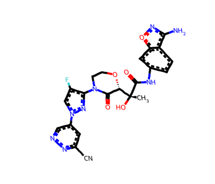 C[C@](O)(C(=O)Nc1ccc2c(N)noc2c1)[C@H]1OCCN(c2nn(-c3cnnc(C#N)c3)cc2F)C1=O